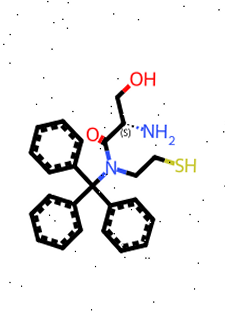 N[C@@H](CO)C(=O)N(CCS)C(c1ccccc1)(c1ccccc1)c1ccccc1